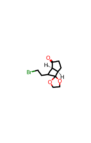 O=C1CC[C@@H]2[C@H]1C(CCBr)C21OCCO1